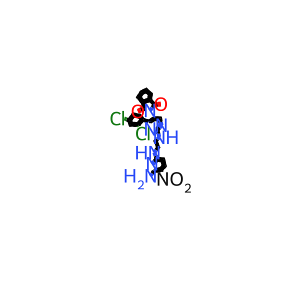 Nc1nc(NCCNc2ncc(N3C(=O)c4ccccc4C3=O)c(-c3ccc(Cl)cc3Cl)n2)ccc1[N+](=O)[O-]